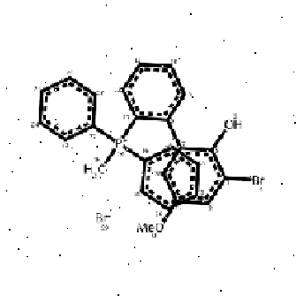 COc1cc(Br)c(O)c(-c2ccccc2[P+](C)(c2ccccc2)c2ccccc2)c1.[Br-]